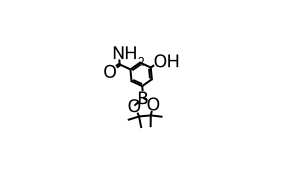 CC1(C)OB(c2cc(O)cc(C(N)=O)c2)OC1(C)C